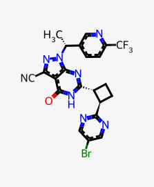 C[C@H](c1ccc(C(F)(F)F)nc1)n1nc(C#N)c2c(=O)[nH]c([C@@H]3CC[C@H]3c3ncc(Br)cn3)nc21